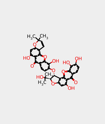 CC1(C)C=Cc2c(cc(O)c3c(=O)c4ccc(O[C@@H]5c6c(cc(O)c7c(=O)c8ccc(O)c(O)c8oc67)O[C@H]5C(C)(C)O)c(O)c4oc23)O1